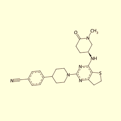 CN1C[C@@H](Nc2nc(N3CCC(c4ccc(C#N)cc4)CC3)nc3c2SCC3)CCC1=O